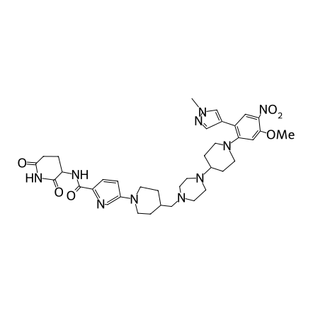 COc1cc(N2CCC(N3CCN(CC4CCN(c5ccc(C(=O)NC6CCC(=O)NC6=O)nc5)CC4)CC3)CC2)c(-c2cnn(C)c2)cc1[N+](=O)[O-]